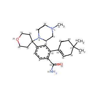 CN1CCN(C2(c3ccc(C(N)=O)c(C4=CCC(C)(C)CC4)c3)CCOCC2)CC1